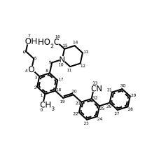 Cc1cc(OCCO)c(CN2CCCCC2C(=O)O)cc1C=Cc1cccc(-c2ccccc2)c1C#N